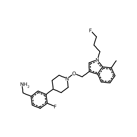 Cc1cccc2c(CON3CCC(c4cc(CN)ccc4F)CC3)cn(CCCF)c12